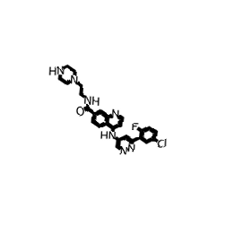 O=C(NCCN1CCNCC1)c1ccc2c(Nc3cnnc(-c4cc(Cl)ccc4F)c3)ccnc2c1